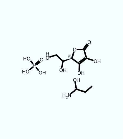 CCC(N)O.O=C1O[C@H](C(O)CO)C(O)=C1O.O=P(O)(O)O